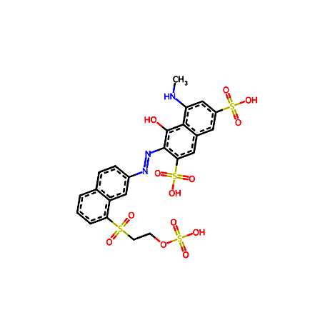 CNc1cc(S(=O)(=O)O)cc2cc(S(=O)(=O)O)c(/N=N/c3ccc4cccc(S(=O)(=O)CCOS(=O)(=O)O)c4c3)c(O)c12